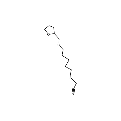 N#CCOCCCCCOCC1CCCO1